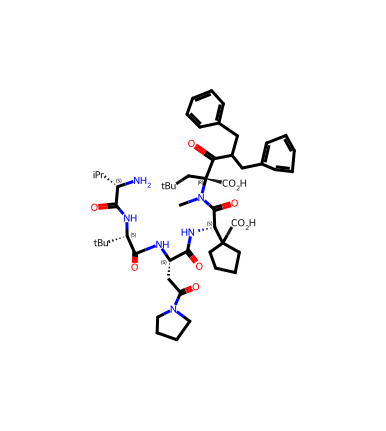 CC(C)[C@H](N)C(=O)N[C@H](C(=O)N[C@@H](CC(=O)N1CCCC1)C(=O)N[C@H](C(=O)N(C)[C@@](CC(C)(C)C)(C(=O)O)C(=O)C(Cc1ccccc1)Cc1ccccc1)C1(C(=O)O)CCCC1)C(C)(C)C